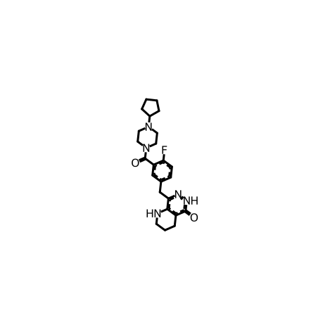 O=C(c1cc(Cc2n[nH]c(=O)c3c2NCCC3)ccc1F)N1CCN(C2CCCC2)CC1